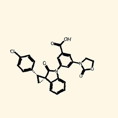 O=C(O)c1cc(N2CCOC2=O)cc(N2C(=O)[C@@]3(C[C@@H]3c3ccc(Cl)cc3)c3ccccc32)c1